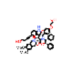 COc1cc2c(cc1OC)CN(C(=O)[C@H]1[C@@H]3C(=O)O[C@@H](c4ccccc4)[C@@H](c4ccccc4)N3C(c3ccc(OCCO)cc3)[C@]13C(=O)Nc1ccc(C#CCCO)cc13)CC2